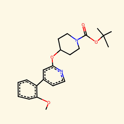 COc1ccccc1-c1ccnc(OC2CCN(C(=O)OC(C)(C)C)CC2)c1